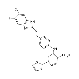 O=C(O)c1ccc(-c2cccs2)cc1Nc1ccc(CSc2nc3cc(F)c(Cl)cc3[nH]2)cc1